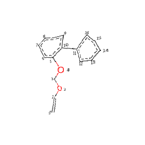 C=COCOc1ccccc1-c1ccccc1